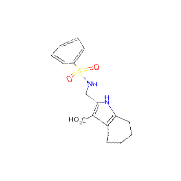 O=C(O)c1c(CNS(=O)(=O)c2ccccc2)[nH]c2c1CCCC2